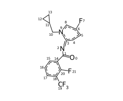 O=C(/N=c1\ccc(F)cn1CC1CC1)c1cccc(C(F)(F)F)c1F